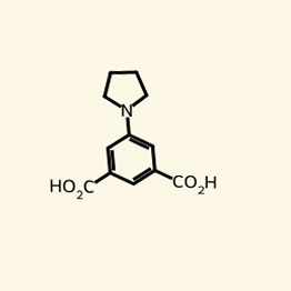 O=C(O)c1cc(C(=O)O)cc(N2CCCC2)c1